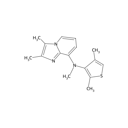 Cc1csc(C)c1N(C)c1cccn2c(C)c(C)nc12